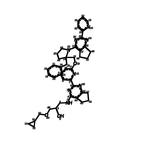 OC(CNc1nc(-c2cccc(OCC3(Cc4ccccc4)CCCN3c3nc(-c4ccccn4)nc4c3CCC4)n2)nc2c1CCC2)COCC1CC1